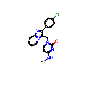 CCNc1ccn(Cc2c(-c3ccc(Cl)cc3)nc3ccccn23)c(=O)n1